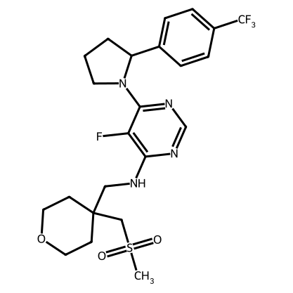 CS(=O)(=O)CC1(CNc2ncnc(N3CCCC3c3ccc(C(F)(F)F)cc3)c2F)CCOCC1